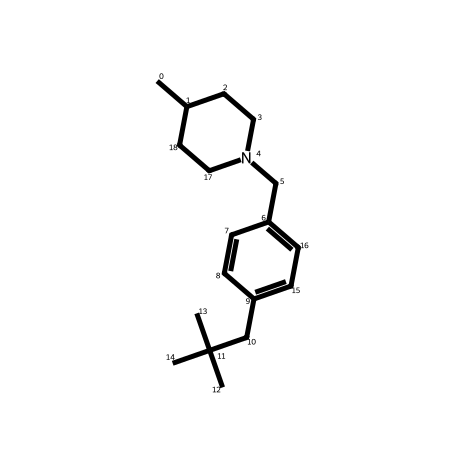 CC1CCN(Cc2ccc(CC(C)(C)C)cc2)CC1